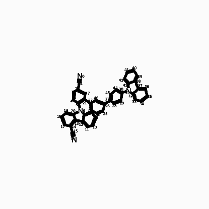 N#Cc1ccc(-n2c3ccccc3c3c(C#N)cccc32)c(-c2cccc(-c3ccc(-n4c5ccccc5c5ccccc54)cc3)c2)c1